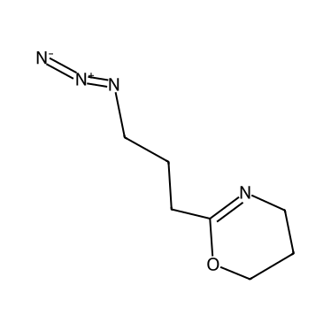 [N-]=[N+]=NCCCC1=NCCCO1